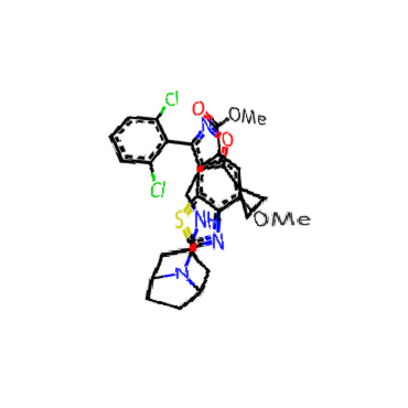 COC(=O)c1cc(OC)c2nc(N3C4CCC3CC(NCc3c(-c5c(Cl)cccc5Cl)noc3C3CC3)C4)sc2c1